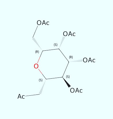 CC(=O)C[C@@H]1O[C@H](COC(C)=O)[C@H](OC(C)=O)[C@H](OC(C)=O)[C@H]1OC(C)=O